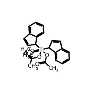 CC(=O)[O][Ti]([O]C(C)=O)([CH]1C=Cc2ccccc21)([CH]1C=Cc2ccccc21)=[Si](C)C